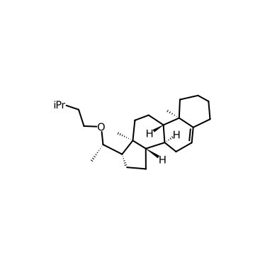 CC(C)CCO[C@@H](C)[C@H]1CC[C@H]2[C@@H]3CC=C4CCCC[C@]4(C)[C@H]3CC[C@]12C